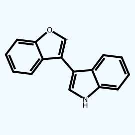 [c]1oc2ccccc2c1-c1c[nH]c2ccccc12